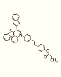 C=CC(=O)Oc1ccc(C=Cc2ccc(N(C=C(c3cc4ccccc4s3)c3cc4ccccc4s3)c3ccccc3)cc2)cc1